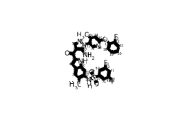 Cc1cc2cc(C(=O)c3cnn(-c4cnc(Oc5ccccc5F)cc4C)c3N)[nH]c2cc1NS(=O)(=O)c1cc(F)cc(F)c1